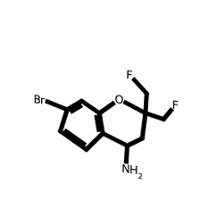 NC1CC(CF)(CF)Oc2cc(Br)ccc21